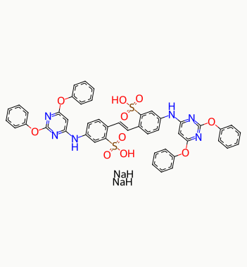 O=S(=O)(O)c1cc(Nc2cc(Oc3ccccc3)nc(Oc3ccccc3)n2)ccc1C=Cc1ccc(Nc2cc(Oc3ccccc3)nc(Oc3ccccc3)n2)cc1S(=O)(=O)O.[NaH].[NaH]